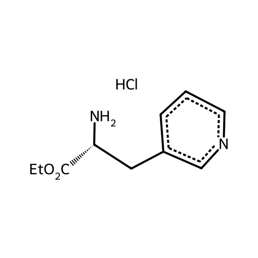 CCOC(=O)[C@H](N)Cc1cccnc1.Cl